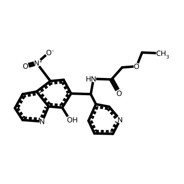 CCOCC(=O)NC(c1cccnc1)c1cc([N+](=O)[O-])c2cccnc2c1O